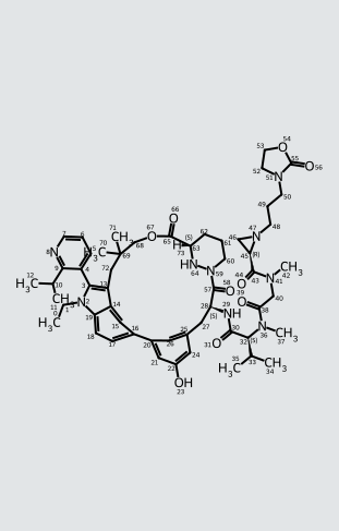 CCn1c(-c2cccnc2C(C)C)c2c3cc(ccc31)-c1cc(O)cc(c1)C[C@H](NC(=O)[C@H](C(C)C)N(C)C(=O)CN(C)C(=O)[C@H]1CN1CCCN1CCOC1=O)C(=O)N1CCC[C@H](N1)C(=O)OCC(C)(C)C2